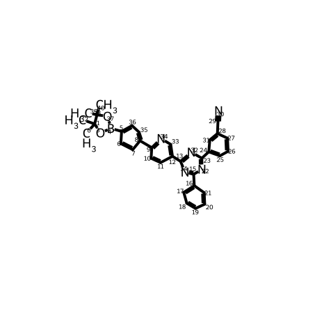 CC1(C)OB(c2ccc(-c3ccc(-c4nc(-c5ccccc5)nc(-c5cccc(C#N)c5)n4)cn3)cc2)OC1(C)C